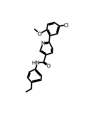 CCc1ccc(NC(=O)c2ccc(-c3cc(Cl)ccc3OC)nc2)cc1